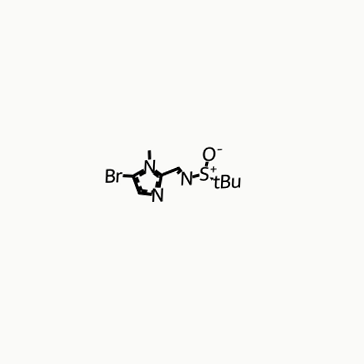 Cn1c(Br)cnc1/C=N/[S@+]([O-])C(C)(C)C